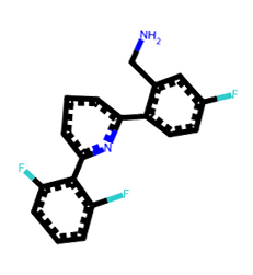 NCc1cc(F)ccc1-c1cccc(-c2c(F)cccc2F)n1